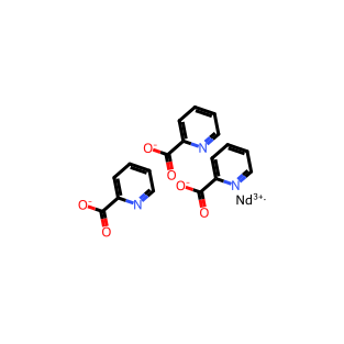 O=C([O-])c1ccccn1.O=C([O-])c1ccccn1.O=C([O-])c1ccccn1.[Nd+3]